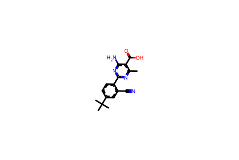 Cc1nc(-c2ccc(C(C)(C)C)cc2C#N)nc(N)c1C(=O)O